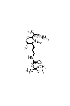 C[C@@H](N)C(=O)NC(CCCNC(=O)OC(C)(C)C)C(=O)O